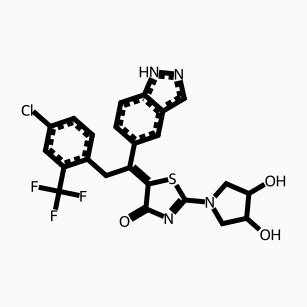 O=C1N=C(N2CC(O)C(O)C2)SC1=C(Cc1ccc(Cl)cc1C(F)(F)F)c1ccc2[nH]ncc2c1